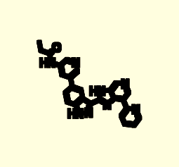 CCC(=O)Nc1cncc(-c2ccc3[nH]nc(-c4nc5c(-c6ccccn6)cncc5[nH]4)c3c2)c1